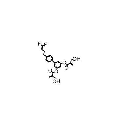 C=C(CO)C(=O)Oc1cc(OC(=O)C(=C)CO)cc(-c2ccc(CCC=C(F)F)cc2)c1